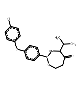 CC(C)C1NP(c2ccc(Oc3ccc(Cl)cc3)cc2)OCCC1=O